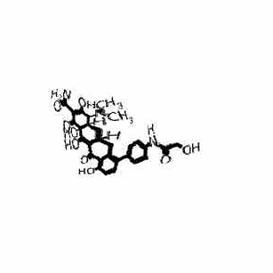 CN(C)[C@@H]1C(O)=C(C(N)=O)C(=O)[C@]2(O)C(O)=C3C(=O)c4c(O)ccc(-c5ccc(NC(=O)CO)cc5)c4C[C@H]3C[C@H]12